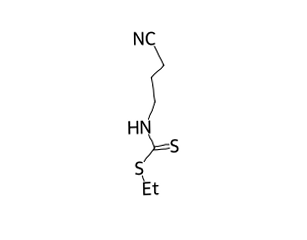 CCSC(=S)NCCCC#N